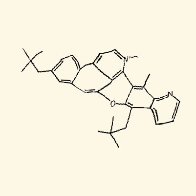 Cc1c2c(c(CC(C)(C)C)c3cccnc13)Oc1cc3cc(CC(C)(C)C)ccc3c3cc[n+](C)c-2c13